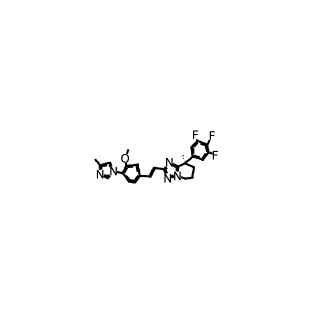 COc1cc(/C=C/c2nc3n(n2)CCC[C@]3(C)c2cc(F)c(F)c(F)c2)ccc1-n1cnc(C)c1